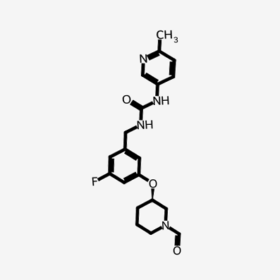 Cc1ccc(NC(=O)NCc2cc(F)cc(O[C@@H]3CCCN(C=O)C3)c2)cn1